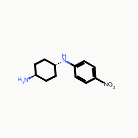 N[C@H]1CC[C@H](Nc2ccc([N+](=O)[O-])cc2)CC1